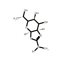 CCN(C)C1=N[C@@H]2C(O)[C@H](O)C([C@H](C)O)O[C@@H]2S1